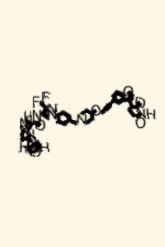 O=C1CCC(c2coc3ccc(C#CCOC4CCN(CC5CCC(n6cc(NC(=O)c7cnn8ccc(N9C[C@H]%10C[C@@H]9CO%10)nc78)c(C(F)F)n6)CC5)CC4)cc23)C(=O)N1